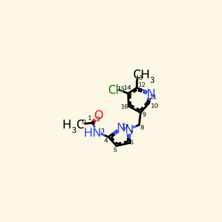 CC(=O)Nc1ccn(Cc2cnc(C)c(Cl)c2)n1